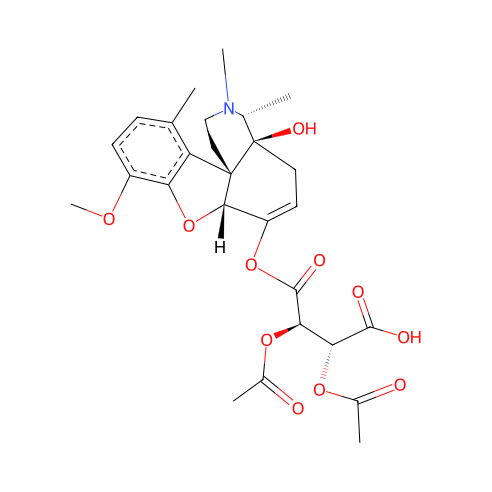 COc1ccc(C)c2c1O[C@H]1C(OC(=O)[C@H](OC(C)=O)[C@@H](OC(C)=O)C(=O)O)=CC[C@@]3(O)[C@@H](C)N(C)CC[C@]213